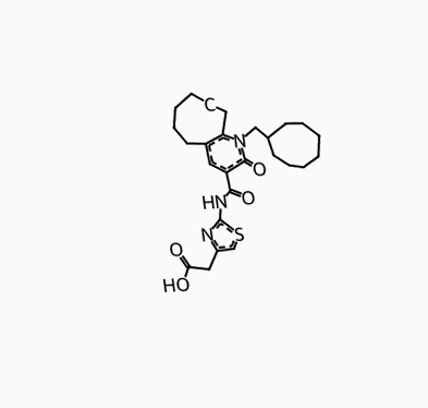 O=C(O)Cc1csc(NC(=O)c2cc3c(n(CC4CCCCCCC4)c2=O)CCCCCC3)n1